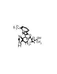 Cc1nc(C(C)O)oc1C(=O)N1CCc2[nH]cnc2[C@H]1c1cc2cccc(C(F)(F)F)n2n1